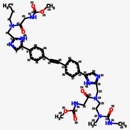 CCCN(Cc1ncc(-c2ccc(C#Cc3ccc(-c4cnc(CN(CCN(C)C(=O)NC)C(=O)CNC(=O)OC)[nH]4)cc3)cc2)[nH]1)C(=O)CNC(=O)OC